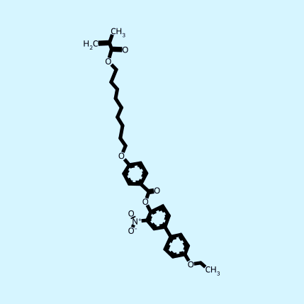 C=C(C)C(=O)OCCCCCCCCCOc1ccc(C(=O)Oc2ccc(-c3ccc(OCC)cc3)cc2[N+](=O)[O-])cc1